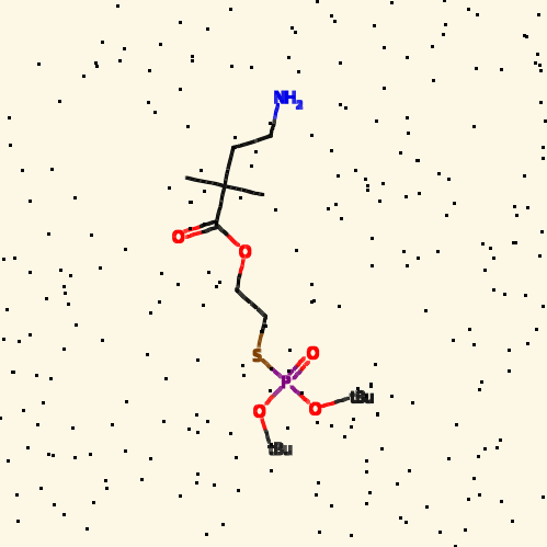 CC(C)(C)OP(=O)(OC(C)(C)C)SCCOC(=O)C(C)(C)CCN